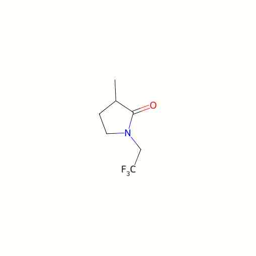 CC1CCN(CC(F)(F)F)C1=O